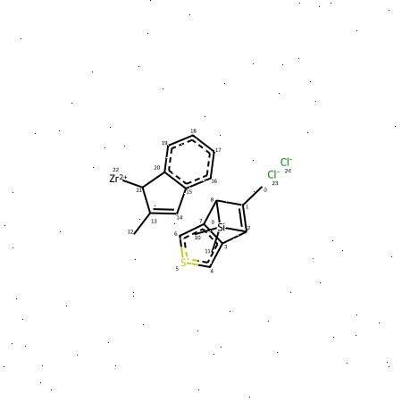 CC1=C2c3cscc3C1[Si]2(C)C.CC1=Cc2ccccc2[CH]1[Zr+2].[Cl-].[Cl-]